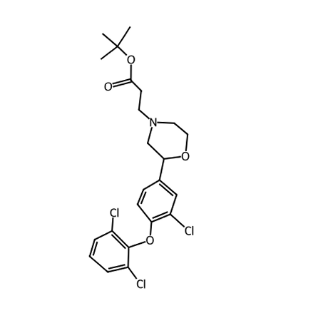 CC(C)(C)OC(=O)CCN1CCOC(c2ccc(Oc3c(Cl)cccc3Cl)c(Cl)c2)C1